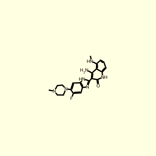 CNc1cccc2[nH]c(=O)c(-c3nc4cc(F)c(N5CCN(C)CC5)cc4[nH]3)c(N)c12